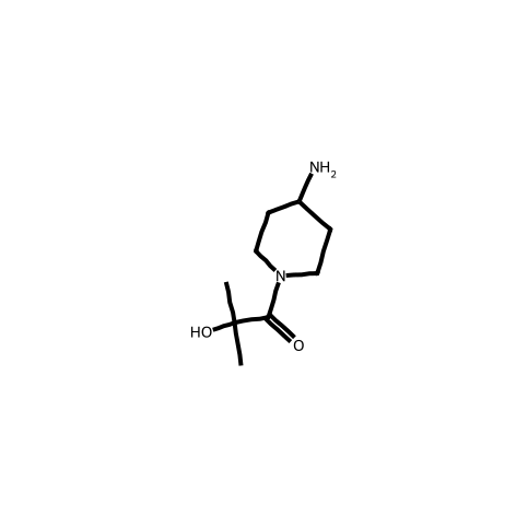 CC(C)(O)C(=O)N1CCC(N)CC1